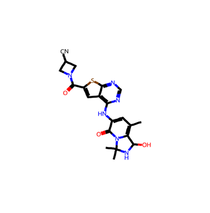 Cc1cc(Nc2ncnc3sc(C(=O)N4CC(C#N)C4)cc23)c(=O)n2c1C(O)NC2(C)C